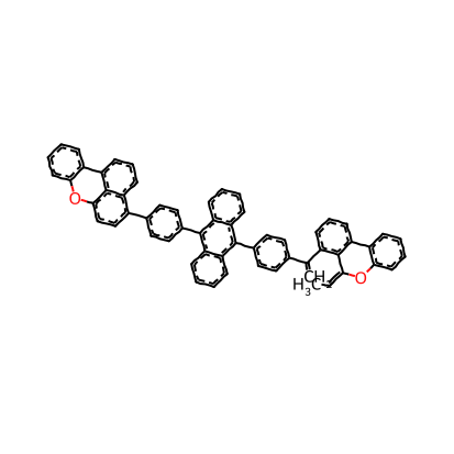 C=C(c1ccc(-c2c3ccccc3c(-c3ccc(-c4ccc5c6c(cccc46)-c4ccccc4O5)cc3)c3ccccc23)cc1)c1cccc2c1/C(=C\C)Oc1ccccc1-2